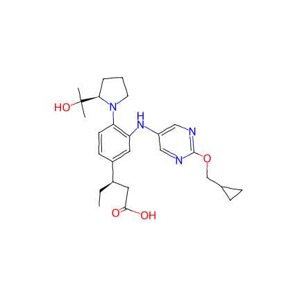 CC[C@H](CC(=O)O)c1ccc(N2CCC[C@@H]2C(C)(C)O)c(Nc2cnc(OCC3CC3)nc2)c1